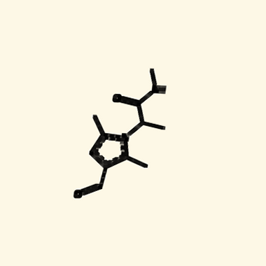 CNC(=O)C(C)n1c(C)cc(C=O)c1C